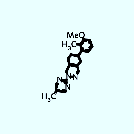 COc1cccc(C2CCC3=C(C=NN(c4ncc(C)cn4)C3)C2)c1C